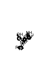 Nc1nc2c(-c3c(C(F)(F)F)cc4c(N5CCCC(CO)CC5)nc(OC[C@@]56CCCN5C[C@H](F)C6)nc4c3F)ccc(F)c2s1